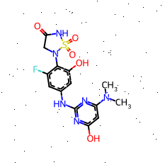 CN(C)c1cc(O)nc(Nc2cc(O)c(N3CC(=O)NS3(=O)=O)c(F)c2)n1